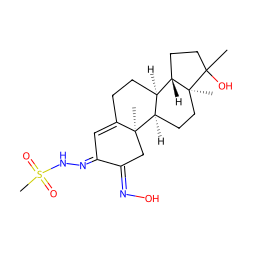 CC1(O)CC[C@H]2[C@@H]3CCC4=CC(=NNS(C)(=O)=O)C(=NO)C[C@]4(C)[C@@H]3CC[C@@]21C